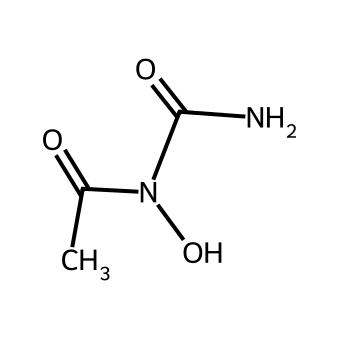 CC(=O)N(O)C(N)=O